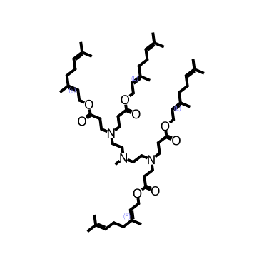 CC(C)=CCC/C(C)=C/COC(=O)CCN(CCC(=O)OC/C=C(\C)CCC=C(C)C)CCN(C)CCN(CCC(=O)OC/C=C(\C)CCC=C(C)C)CCC(=O)OC/C=C(\C)CCC=C(C)C